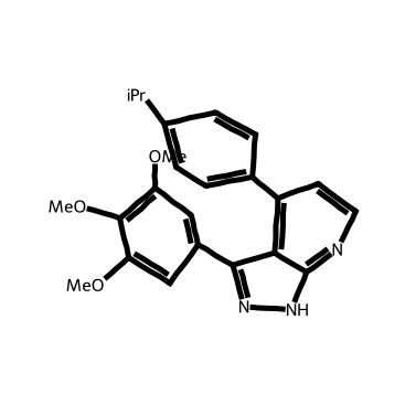 COc1cc(-c2n[nH]c3nccc(-c4ccc(C(C)C)cc4)c23)cc(OC)c1OC